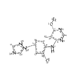 CCOc1ncnc(Nc2ccc(-n3cncn3)cc2Cl)c1C